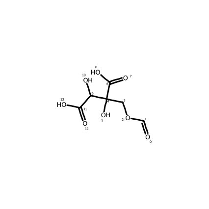 O=COCC(O)(C(=O)O)C(O)C(=O)O